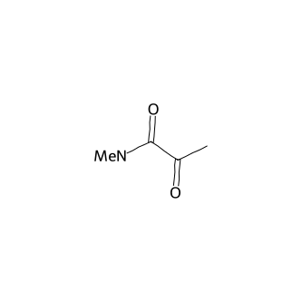 CNC(=O)C(C)=O